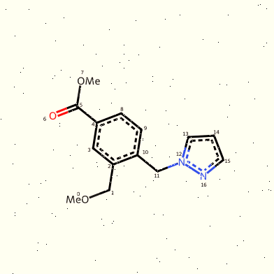 COCc1cc(C(=O)OC)ccc1Cn1cccn1